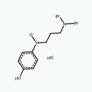 CC(C)N(CCC[S+]([O-])c1ccc(O)cc1)C(C)C.Cl